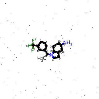 CC(c1cccc(C(F)(F)F)c1)n1ccc2cc(N)ccc21